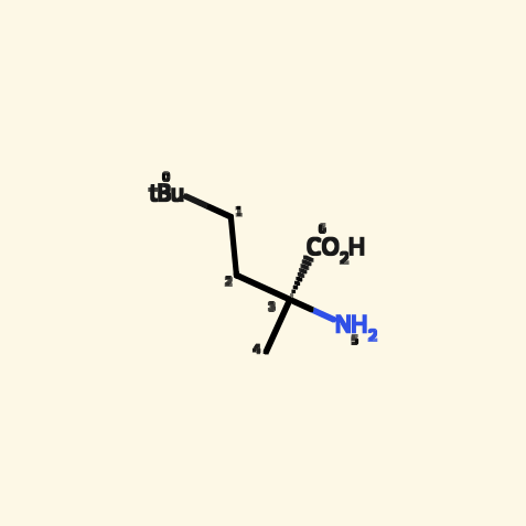 CC(C)(C)CC[C@](C)(N)C(=O)O